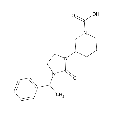 CC(c1ccccc1)N1CCN(C2CCCN(C(=O)O)C2)C1=O